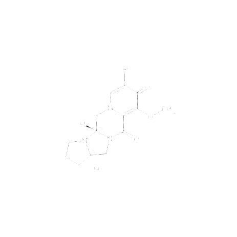 O=C1c2c(OP)c(=O)c(Br)cn2C[C@@H]2N1C[C@H]1CCCN12